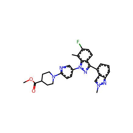 COC(=O)C1CCN(c2ccc(-n3nc(-c4cccc5nn(C)cc45)c4ccc(F)c(C)c43)cn2)CC1